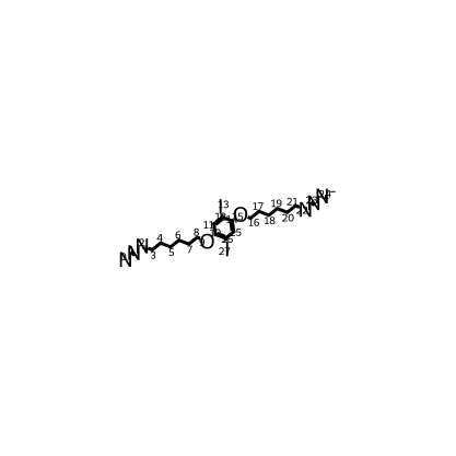 [N-]=[N+]=NCCCCCCOc1cc(I)c(OCCCCCCN=[N+]=[N-])cc1I